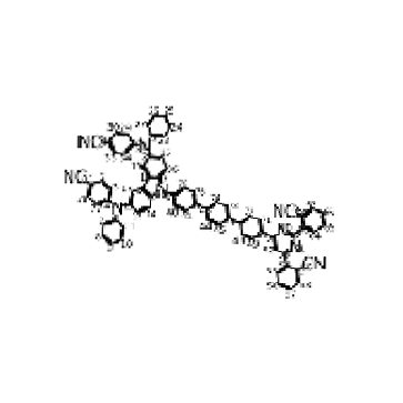 N#Cc1ccc(N(c2ccccc2)c2ccc3c(c2)c2cc(N(c4ccccc4)c4ccc(C#N)cc4)ccc2n3-c2ccc(-c3ccc(-c4ccc(-c5cc(-c6ccccc6C#N)nc(-c6ccccc6C#N)n5)cc4)cc3)cc2)cc1